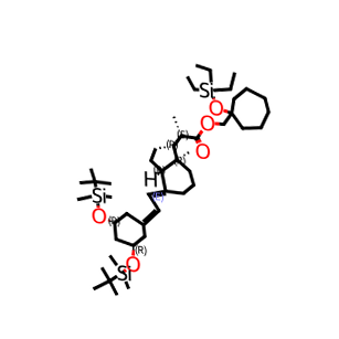 CC[Si](CC)(CC)OC1(COC(=O)[C@@H](C)[C@H]2CC[C@H]3/C(=C/C=C4C[C@@H](O[Si](C)(C)C(C)(C)C)C[C@H](O[Si](C)(C)C(C)(C)C)C4)CCC[C@]23C)CCCCCC1